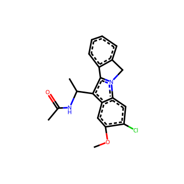 COc1cc2c(C(C)NC(C)=O)c3n(c2cc1Cl)Cc1ccccc1-3